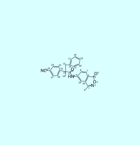 Cc1noc(=O)c2ccc(NC(=O)C(C)(Cc3ccccc3)c3ccc(C#N)cc3)cc12